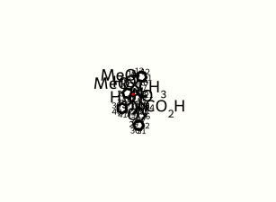 COc1ccccc1C(O)(c1ccccc1OC)C(C)N(C)C(=O)[C@H]1[C@@H](C(=O)O)N(Cc2ccccc2)C(=O)N1Cc1ccccc1